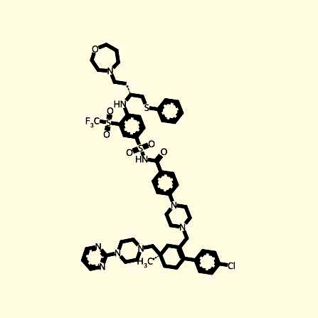 C[C@@]1(CN2CCN(c3ncccn3)CC2)CCC(c2ccc(Cl)cc2)=C(CN2CCN(c3ccc(C(=O)NS(=O)(=O)c4ccc(N[C@H](CCN5CCCOCC5)CSc5ccccc5)c(S(=O)(=O)C(F)(F)F)c4)cc3)CC2)C1